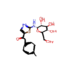 Cc1ccc(C(=O)c2cnc(N[C@H]3OC(CO)[C@@H](O)C(O)[C@H]3O)s2)cc1